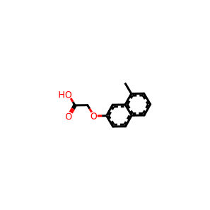 Cc1cccc2ccc(OCC(=O)O)cc12